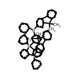 CC1(C)c2ccccc2-c2ccc(N(c3ccccc3)c3cccc([Si](c4ccccc4)(c4ccccc4)c4ccccc4N(c4ccccc4)c4ccc5c(c4)C(C)(C)c4ccccc4-5)c3)cc21